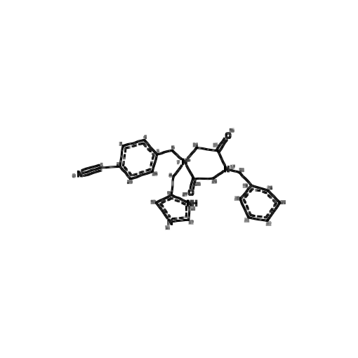 N#Cc1ccc(C[N+]2(Cc3cnc[nH]3)CC(=O)N(Cc3ccccc3)CC2=O)cc1